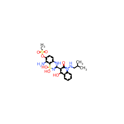 CC(C)CNn1c(=O)c(C2=NS(O)(O)c3c(ccc(OS(C)(=O)=O)c3N)N2)c(O)c2ccccc21